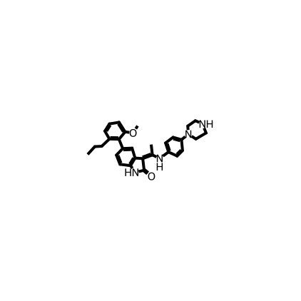 CCCc1cccc(OC)c1-c1ccc2c(c1)/C(=C(\C)Nc1ccc(N3CCNCC3)cc1)C(=O)N2